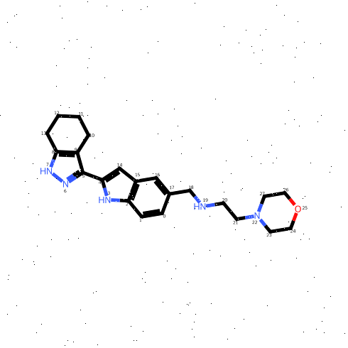 c1cc2[nH]c(-c3n[nH]c4c3CCCC4)cc2cc1CNCCN1CCOCC1